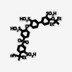 CCCC(C)(CC)c1ccc(S(=O)(=O)c2ccc(Oc3ccc(-c4ccc(OC(C)(CC)CC)c(S(=O)(=O)O)c4)cc3S(=O)(=O)O)c(S(=O)(=O)O)c2)cc1S(=O)(=O)O